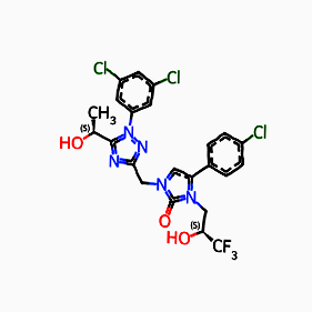 C[C@H](O)c1nc(Cn2cc(-c3ccc(Cl)cc3)n(C[C@H](O)C(F)(F)F)c2=O)nn1-c1cc(Cl)cc(Cl)c1